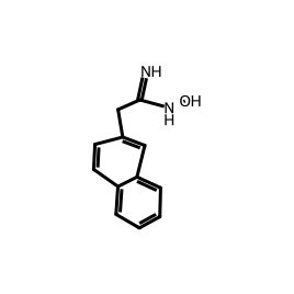 N=C(Cc1ccc2ccccc2c1)NO